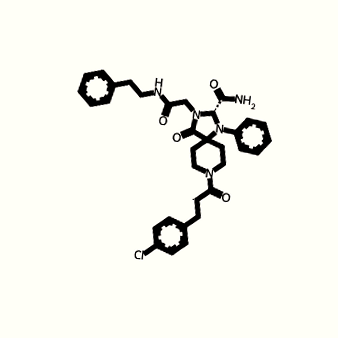 NC(=O)[C@H]1N(CC(=O)NCCc2ccccc2)C(=O)C2(CCN(C(=O)[CH]Cc3ccc(Cl)cc3)CC2)N1c1ccccc1